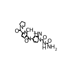 Cn1c(C(=O)N2CCCC2)cc2on(-c3ccn(C(=O)NC(N)=O)c(=N)c3)c21